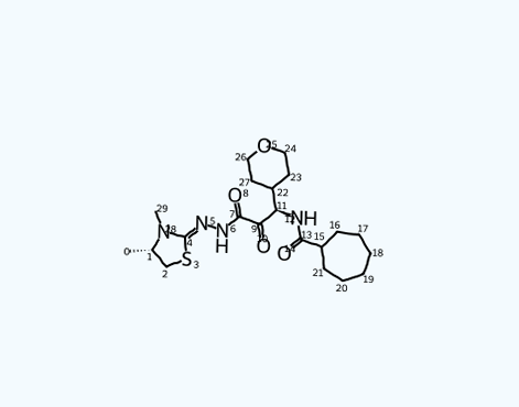 C[C@H]1CSC(=NNC(=O)C(=O)[C@H](NC(=O)C2CCCCCC2)C2CCOCC2)N1C